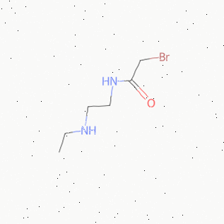 CCNCCNC(=O)CBr